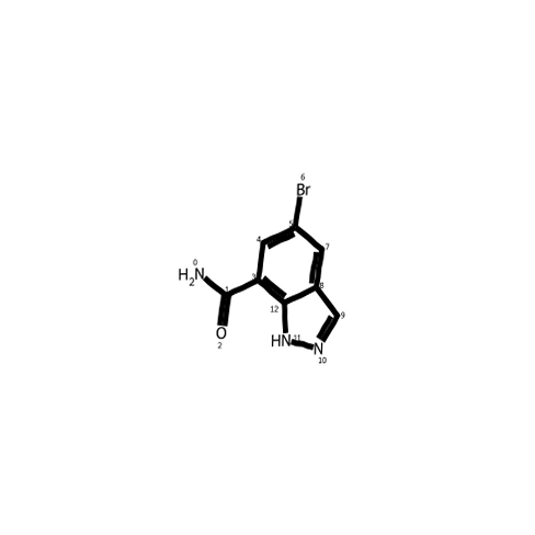 NC(=O)c1cc(Br)cc2cn[nH]c12